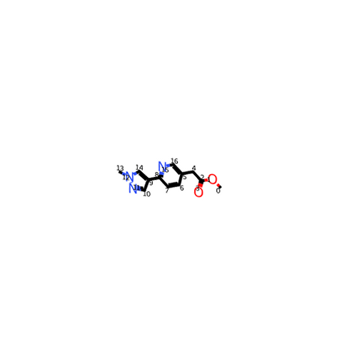 COC(=O)Cc1ccc(-c2cnn(C)c2)nc1